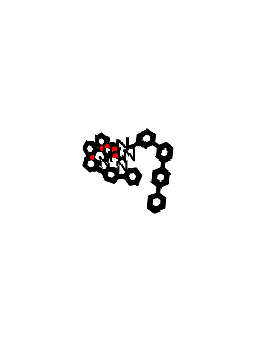 c1ccc(-c2ccc(-c3cccc(-c4cccc(-c5nc(-c6ccccc6)nc(-n6c7ccccc7c7ccc8c9ccccc9n(-c9ccccc9-c9ccccc9)c8c76)n5)c4)c3)cc2)cc1